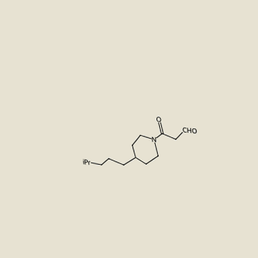 CC(C)CCCC1CCN(C(=O)CC=O)CC1